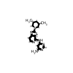 C[C@@H]1C[C@H](C)CN(c2nc3ccnc(Nc4cc(N)ncn4)c3s2)C1